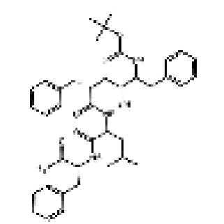 CC(C)CC(NC(=O)[C@H](Cc1ccccc1)CC(O)C(Cc1ccccc1)NC(=O)OC(C)(C)C)C(=O)N[C@@H](Cc1ccccc1)C(N)=O